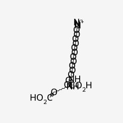 [N-]=[N+]=NCCOCCOCCOCCOCCOCCOCCOCCOCCOCCOCCOCCNC(=O)CC[C@H](NC(=O)CCCCCCCCCOc1ccc(C(=O)O)cc1)C(=O)O